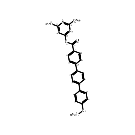 CCCCCOc1ccc(-c2ccc(-c3ccc(C(=O)Oc4nc(OC)nc(OC)n4)cc3)cc2)cc1